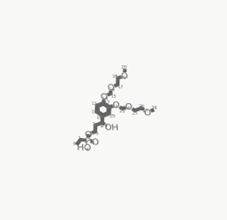 CCP(=O)(O)OCCC(O)c1ccc(OCOCCOC)c(OCOCCOC)c1